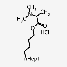 CCCCCCCCCCCOC(=O)C(C)N(C)C.Cl